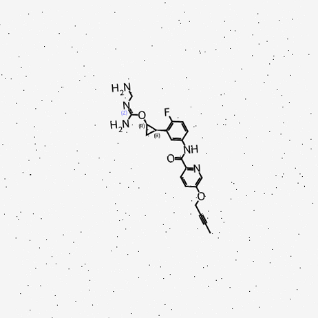 CC#CCOc1ccc(C(=O)Nc2ccc(F)c([C@H]3C[C@H]3O/C(N)=N\CN)c2)nc1